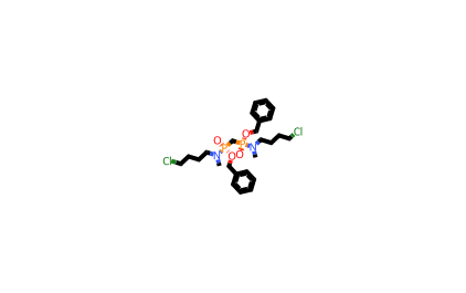 CN(CCCCCl)P(=O)(CP(=O)(OCc1ccccc1)N(C)CCCCCl)OCc1ccccc1